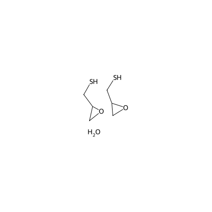 O.SCC1CO1.SCC1CO1